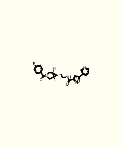 O=C(NCC[C@@H]1[C@H]2CN(C(=O)c3ccc(F)cc3)C[C@@H]12)c1cc(-c2cccnc2)on1